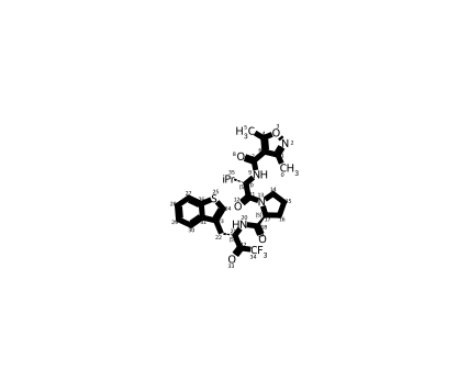 Cc1noc(C)c1C(=O)N[C@H](C(=O)N1CCC[C@H]1C(=O)N[C@@H](Cc1csc2ccccc12)C(=O)C(F)(F)F)C(C)C